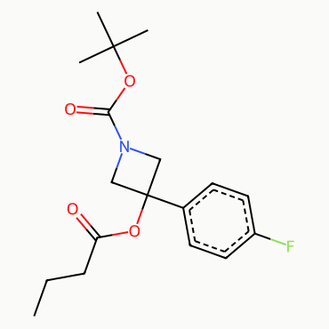 CCCC(=O)OC1(c2ccc(F)cc2)CN(C(=O)OC(C)(C)C)C1